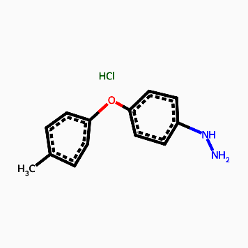 Cc1ccc(Oc2ccc(NN)cc2)cc1.Cl